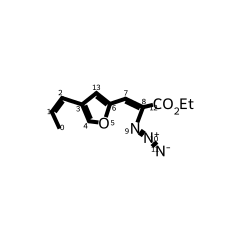 C/C=C\c1coc(/C=C(\N=[N+]=[N-])C(=O)OCC)c1